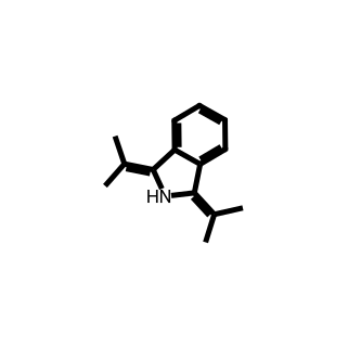 CC(C)=c1[nH]c(=C(C)C)c2ccccc12